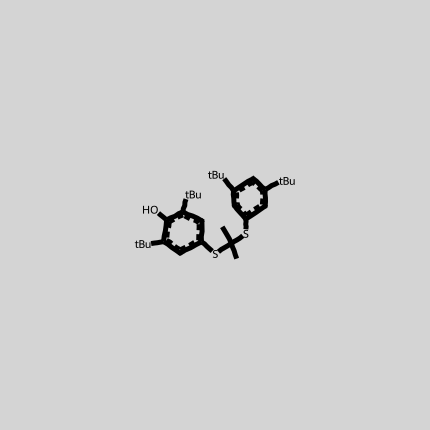 CC(C)(Sc1cc(C(C)(C)C)[c]c(C(C)(C)C)c1)Sc1cc(C(C)(C)C)c(O)c(C(C)(C)C)c1